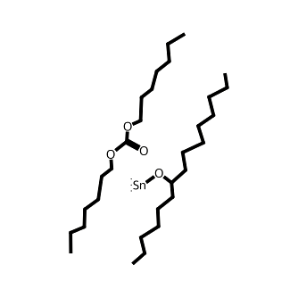 CCCCCCCCC(CCCCCC)[O][Sn].CCCCCCCOC(=O)OCCCCCCC